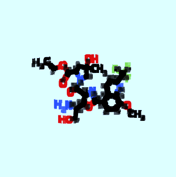 CCOC(=O)C1CC(C)(O)CN1C(=O)c1nc(-c2ccc(OC)c3nc(C(F)(F)F)ccc23)oc1[C@@H](N)CO